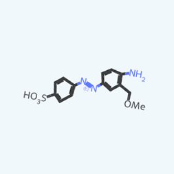 COCc1cc(/N=N/c2ccc(S(=O)(=O)O)cc2)ccc1N